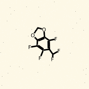 Fc1c(F)c(C(F)F)c(F)c2c1OCO2